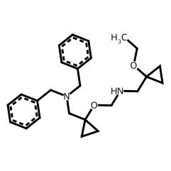 CCOC1(CNCOC2(CN(Cc3ccccc3)Cc3ccccc3)CC2)CC1